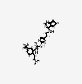 CN(C)CCc1ccc(C(F)(F)F)cc1NC(=O)Nc1ncc(CCNc2ncnc3ccsc23)s1